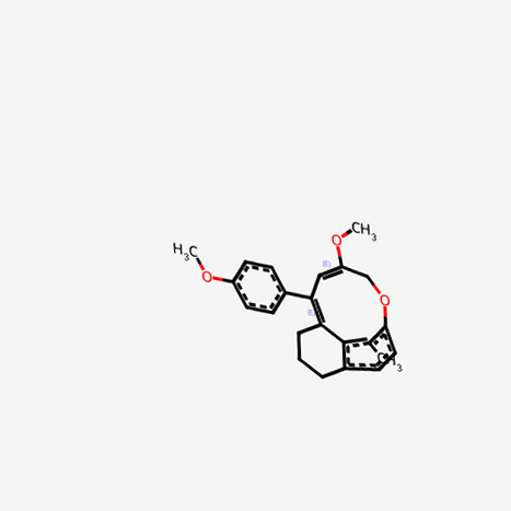 CO/C1=C/C(c2ccc(OC)cc2)=C2/CCCc3ccc(c(C)c32)OC1